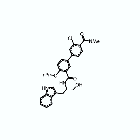 CCCOc1ccc(-c2ccc(C(=O)NC)c(Cl)c2)cc1C(=O)N[C@H](CO)Cc1c[nH]c2ccccc12